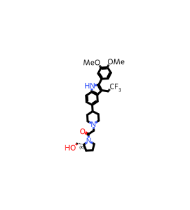 COc1ccc(-c2[nH]c3ccc(C4CCN(CC(=O)N5CCC[C@@H]5CO)CC4)cc3c2CC(F)(F)F)cc1OC